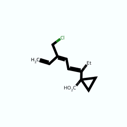 C=C/C(=C\C=C(/CC)C1(C(=O)O)CC1)CCl